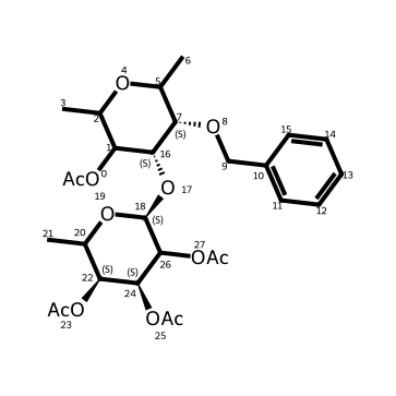 CC(=O)OC1C(C)OC(C)[C@H](OCc2ccccc2)[C@@H]1O[C@@H]1OC(C)[C@H](OC(C)=O)[C@H](OC(C)=O)C1OC(C)=O